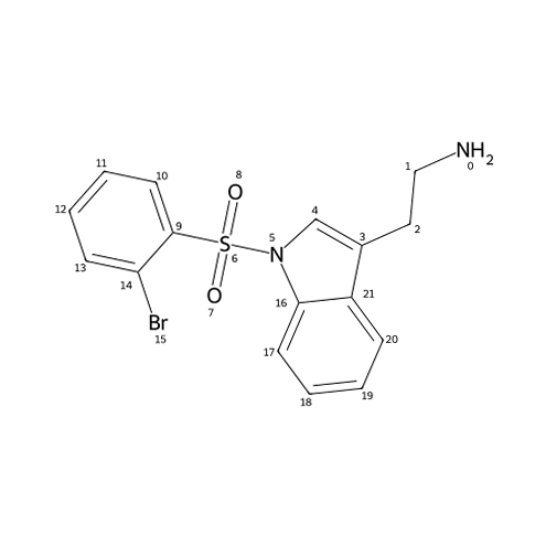 NCCc1cn(S(=O)(=O)c2ccccc2Br)c2ccccc12